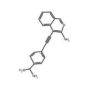 Nc1ncc2ccccc2c1C#Cc1ccc(C(N)N)cc1